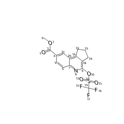 COC(=O)c1ccc2nc(OS(=O)(=O)C(F)(F)F)c3c(c2c1)CCC3